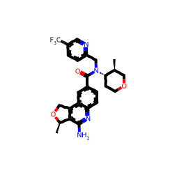 C[C@H]1OCc2c1c(N)nc1ccc(C(=O)N(Cc3ccc(C(F)(F)F)cn3)[C@H]3CCOC[C@@H]3C)cc21